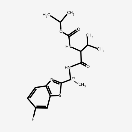 CC(C)OC(=O)NC(C(=O)N[C@H](C)c1nc2ccc(F)cc2s1)C(C)C